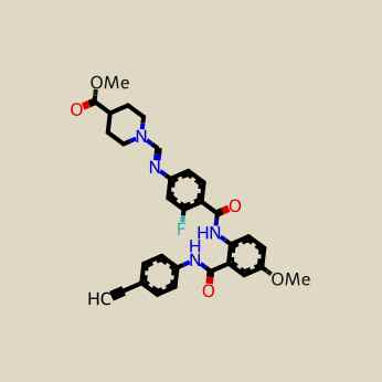 C#Cc1ccc(NC(=O)c2cc(OC)ccc2NC(=O)c2ccc(/N=C/N3CCC(C(=O)OC)CC3)cc2F)cc1